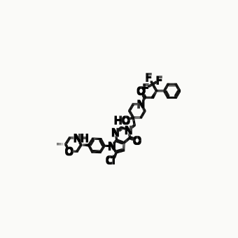 C[C@@H]1CN[C@@H](c2ccc(-n3c(Cl)cc4c(=O)n(CC5(O)CCN(C(=O)C[C@H](c6ccccc6)C(F)(F)F)CC5)cnc43)cc2)CO1